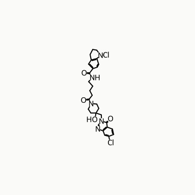 O=C(NCCCCC(=O)N1CCC(O)(Cn2cnc3cc(Cl)ccc3c2=O)CC1)c1ccc2c(c1)CCCN2Cl